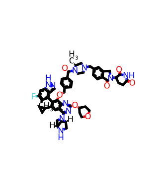 Cc1c(F)cc2[nH]ncc2c1-c1c(C2CC2)cc2c(N3C[C@@H]4C[C@H]3CN4)nc(OC3CCOCC3)nc2c1OCc1ccc(C(=O)N2CCN(Cc3ccc4c(c3)CN(C3CCC(=O)NC3=O)C4=O)C[C@@H]2C)cc1